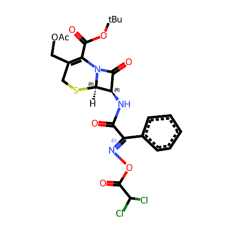 CC(=O)OCC1=C(C(=O)OC(C)(C)C)N2C(=O)[C@@H](NC(=O)/C(=N/OC(=O)C(Cl)Cl)c3ccccc3)[C@H]2SC1